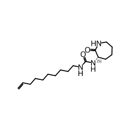 C=CCCCCCCCCNC(=O)N[C@H]1CCCCNC1=O